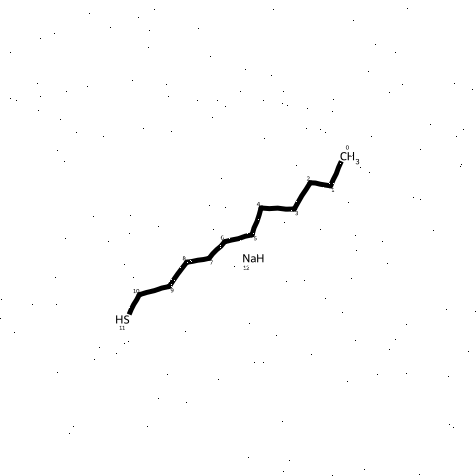 CCCCCCCCCCCS.[NaH]